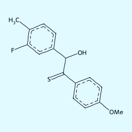 COc1ccc(C(=S)C(O)c2ccc(C)c(F)c2)cc1